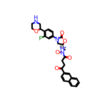 O=C(CCC(=O)[NH+]([O-])C[C@@H]1CN(c2ccc(C3CNCCO3)c(F)c2)C(=O)O1)c1ccc2ccccc2c1